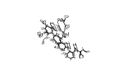 C=CC(=O)Nc1cccc(C)c1Nc1cc2c(NC3CCN(C)C3)nc(-c3c(Cl)c(OC)cc(OC)c3CC)cc2cn1